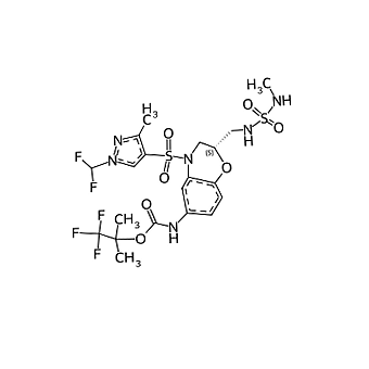 CNS(=O)(=O)NC[C@H]1CN(S(=O)(=O)c2cn(C(F)F)nc2C)c2cc(NC(=O)OC(C)(C)C(F)(F)F)ccc2O1